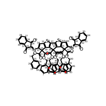 O=C(OCc1ccccc1)C1(C(=O)OCc2ccccc2)C(N=c2c(=O)c3ccccc3c2=O)=Cc2sc3c(c21)C(C(=O)OCc1ccccc1)(C(=O)OCc1ccccc1)c1c-3sc2c1C(C(=O)OCc1ccccc1)(C(=O)OCc1ccccc1)C(N=c1c(=O)c3ccccc3c1=O)=C2